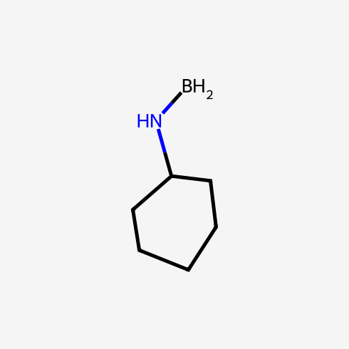 BNC1CCCCC1